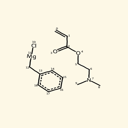 C=CC(=O)OCCN(C)C.[Cl][Mg][CH2]c1ccccc1